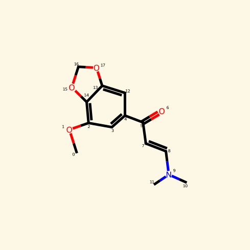 COc1cc(C(=O)/C=C/N(C)C)cc2c1OCO2